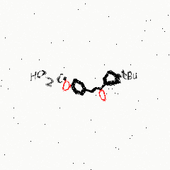 CC(C)(C)c1ccc(C(=O)C=Cc2ccc(OCC(=O)O)cc2)cc1